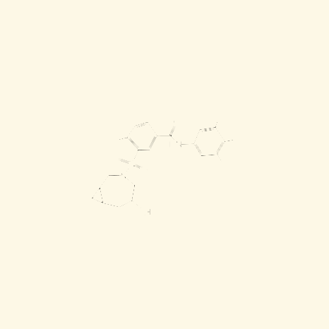 O=C(Nc1cc(F)c(F)c(F)c1)c1ccc(F)c(S(=O)(=O)N2CC(O)CC3CC3C2)c1